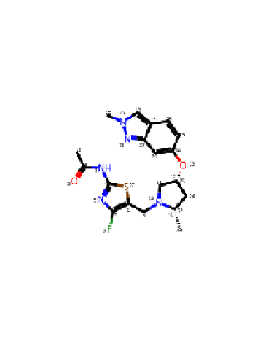 CC(=O)Nc1nc(F)c(CN2C[C@H](Oc3ccc4cn(C)nc4c3)C[C@@H]2C)s1